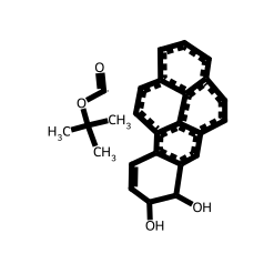 CC(C)(C)O[C]=O.OC1C=Cc2c(cc3ccc4cccc5ccc2c3c45)C1O